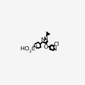 O=C(O)N1CCC(c2nn(C3CC3)cc2Oc2ccnc(Cl)c2)CC1